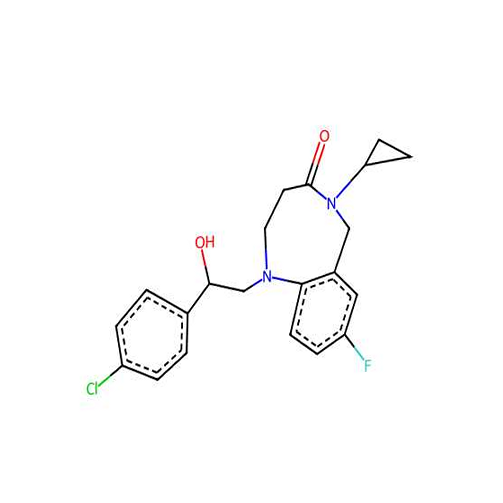 O=C1CCN(CC(O)c2ccc(Cl)cc2)c2ccc(F)cc2CN1C1CC1